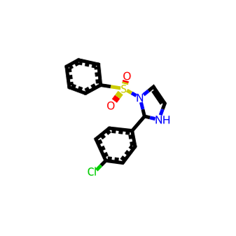 O=S(=O)(c1ccccc1)N1C=CNC1c1ccc(Cl)cc1